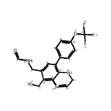 O=CNCc1cc(-c2ccc(OC(F)(F)F)cc2)c2c(c1CO)N=CCN2